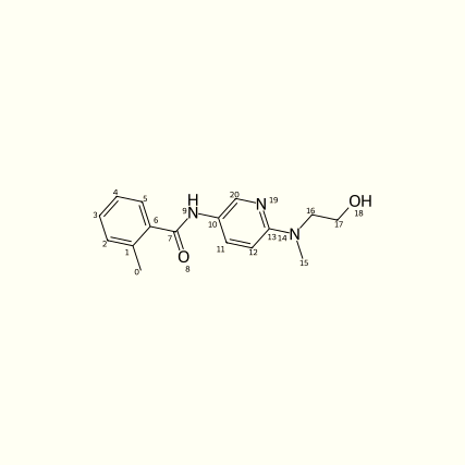 Cc1ccccc1C(=O)Nc1ccc(N(C)CCO)nc1